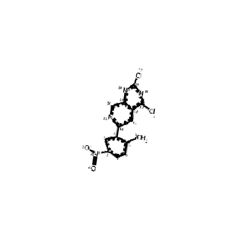 Cc1ccc([N+](=O)[O-])cc1-c1cc2c(Cl)nc(Cl)nc2cn1